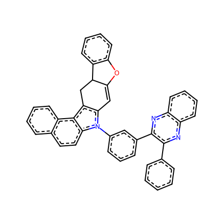 C1=C2Oc3ccccc3C2Cc2c1n(-c1cccc(-c3nc4ccccc4nc3-c3ccccc3)c1)c1ccc3ccccc3c21